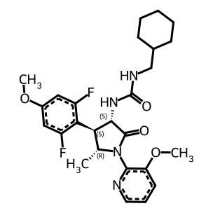 COc1cc(F)c([C@H]2[C@H](NC(=O)NCC3CCCCC3)C(=O)N(c3ncccc3OC)[C@@H]2C)c(F)c1